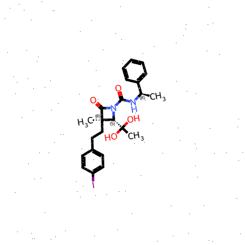 C[C@@H](NC(=O)N1C(=O)[C@](C)(CCc2ccc(I)cc2)[C@H]1C(C)(O)O)c1ccccc1